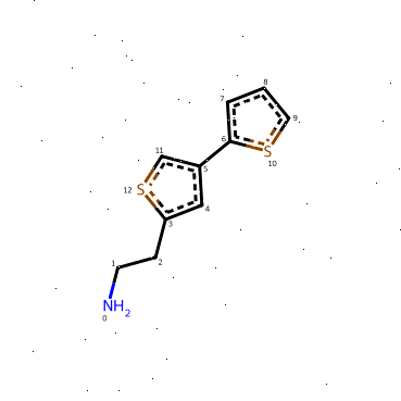 NCCc1cc(-c2cccs2)cs1